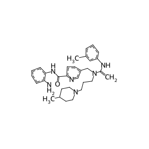 C=C(Nc1cccc(C)c1)N(CCCN1CCC(C)CC1)Cc1ccc(C(=O)Nc2ccccc2N)nc1